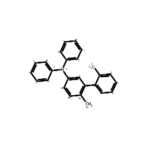 Cc1ccccc1-c1cc(N(c2ccccc2)c2ccccc2)ccc1C